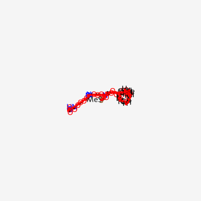 C=C1C[C@@H]2CC[C@@]34C[C@H]5O[C@H]6[C@@H](O3)[C@H]3O[C@H](CC[C@@H]3O[C@H]6[C@H]5O4)CC(=O)C[C@@H]3[C@@H](OC)[C@@H](C[C@H](O)CCC(=O)OCc4ccc(N(CCOCCOCCOCCn5cc(COCCOCCOCCOCCNC(=O)CCN6C(=O)C=CC6=O)nn5)C(=O)OCC(C)(C)SSC)cc4)O[C@H]3C[C@H]3O[C@@H](CC[C@@H]1O2)C[C@@H](C)C3=C